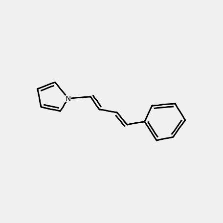 C(C=Cn1cccc1)=Cc1ccccc1